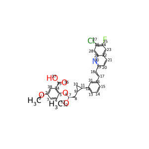 COc1ccc(O[C@@H](CC2CC2c2cccc(/C=C/c3ccc4cc(F)c(Cl)cc4n3)c2)OC)c(C(=O)O)c1